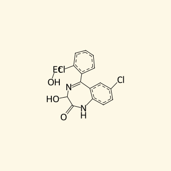 CCO.O=C1Nc2ccc(Cl)cc2C(c2ccccc2Cl)=NC1O